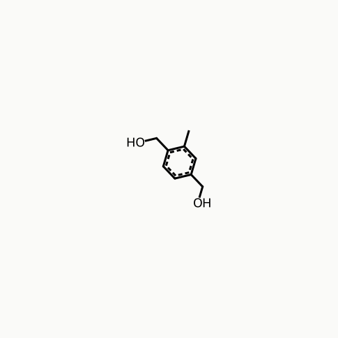 Cc1cc(CO)ccc1CO